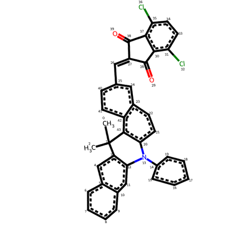 CC1(C)c2cc3ccccc3cc2N(c2ccccc2)c2ccc3cc(C=C4C(=O)c5c(Cl)ccc(Cl)c5C4=O)ccc3c21